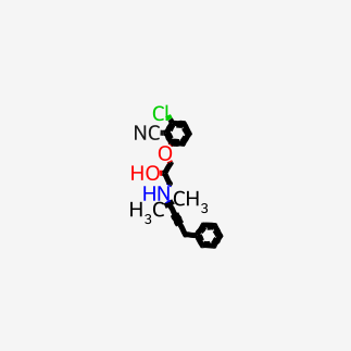 CC(C)(C#CCc1ccccc1)NCC(O)COc1cccc(Cl)c1C#N